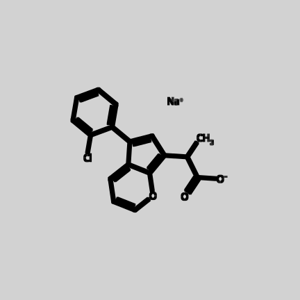 CC(C(=O)[O-])c1cc(-c2ccccc2Cl)c2cccoc1-2.[Na+]